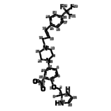 CC1(COc2ccc(N3CCN(CC=Cc4ccc(C(F)(F)F)cc4)CC3)cc2[N+](=O)[O-])NC=CN1